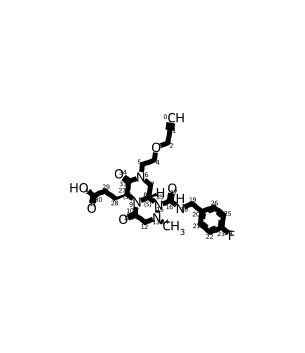 C#CCOCCN1C[C@H]2N(C(=O)CN(C)N2C(=O)NCc2ccc(F)cc2)[C@@H](CCC(=O)O)C1=O